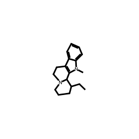 CCC1CCCN2CCc3c(n(C)c4ccccc34)C12